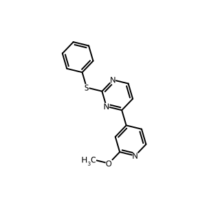 COc1cc(-c2ccnc(Sc3ccccc3)n2)ccn1